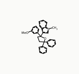 COc1cccc(C2(c3cn(C)c4ccccc34)CCC(c3ccccc3)(c3ccccc3)O2)c1